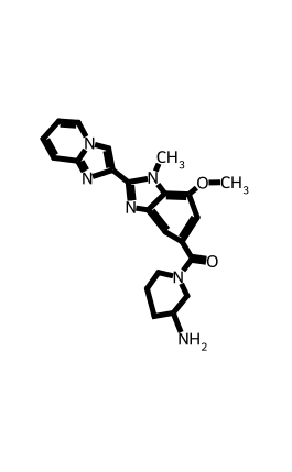 COc1cc(C(=O)N2CCCC(N)C2)cc2nc(-c3cn4ccccc4n3)n(C)c12